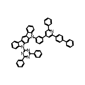 c1ccc(-c2ccc(-c3cc(-c4cccc(-n5c6ccccc6c6cc7c8ccccc8n(-c8nc(-c9ccccc9)nc(-c9ccccc9)n8)c7cc65)c4)cc(-c4ccccc4)n3)cc2)cc1